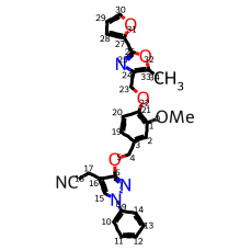 COc1cc(COc2nn(-c3ccccc3)cc2CC#N)ccc1OCc1nc(-c2ccco2)oc1C